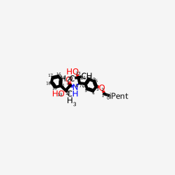 CCCC(C)COc1ccc([C@@H](NC(=O)C(C)(O)c2ccccc2)C(C)(C)O)cc1